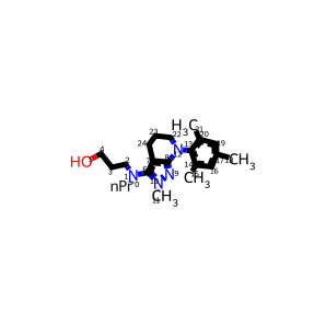 CCCN(CCCO)c1c2c(nn1C)N(c1c(C)cc(C)cc1C)CCC2